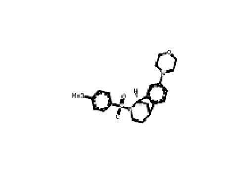 COc1ccc(S(=O)(=O)N2CCC3C[C@@H]2c2cc(N4CCOCC4)ccc23)cc1